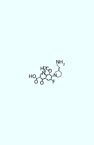 COc1c(N2CCC/C(=C/CN)C2)c(F)cc2c(=O)c(C(=O)O)cn(C3CC3)c12